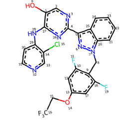 Oc1cnc(-c2nn(Cc3c(F)cc(OCC(F)(F)F)cc3F)c3ccccc23)nc1Nc1ccncc1Cl